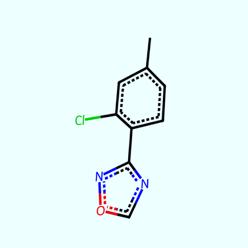 Cc1ccc(-c2ncon2)c(Cl)c1